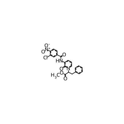 COC(=O)C(Cc1ccccc1)n1cccc(NC(=O)c2ccc([N+](=O)[O-])c(Cl)c2)c1=O